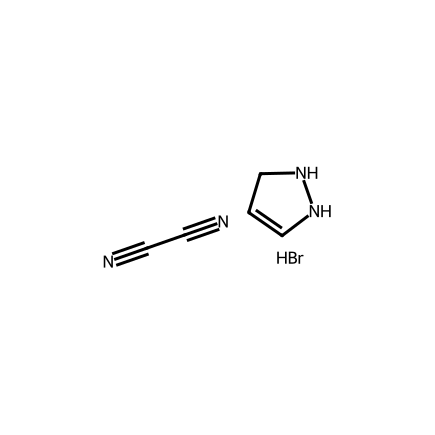 Br.C1=CNNC1.N#CC#N